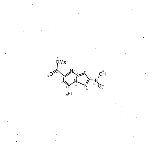 CCc1cc(C(=O)OC)nc2cc(B(O)O)nn12